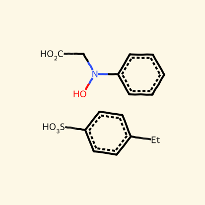 CCc1ccc(S(=O)(=O)O)cc1.O=C(O)CN(O)c1ccccc1